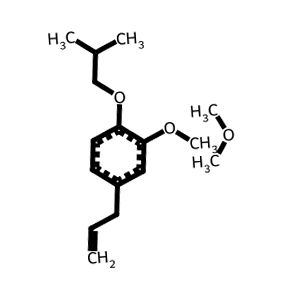 C=CCc1ccc(OCC(C)C)c(OC)c1.COC